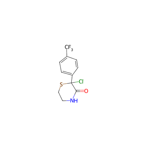 O=C1NCCSC1(Cl)c1ccc(C(F)(F)F)cc1